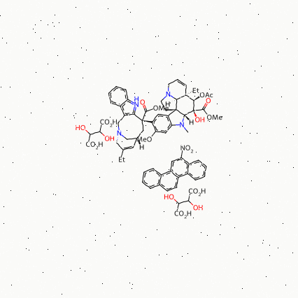 CCC1=C[C@@H]2C[N@](C1)Cc1c([nH]c3ccccc13)[C@@](C(=O)OC)(c1cc3c(cc1OC)N(C)[C@H]1[C@@](O)(C(=O)OC)[C@H](OC(C)=O)[C@]4(CC)C=CCN5CC[C@]31[C@@H]54)C2.O=C(O)C(O)C(O)C(=O)O.O=C(O)C(O)C(O)C(=O)O.O=[N+]([O-])c1cc2c3ccccc3ccc2c2ccccc12